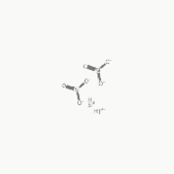 O=[Si]([O-])[O-].O=[Si]([O-])[O-].[Hf+4].[SiH4]